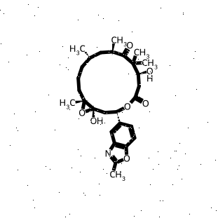 Cc1nc2cc([C@@H]3C[C@]4(O)O[C@]4(C)CCC[C@H](C)C[C@@H](C)C(=O)C(C)(C)[C@@H](O)CC(=O)O3)ccc2o1